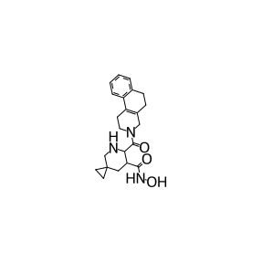 O=C(NO)C1CC2(CC2)CNC1C(=O)N1CCC2=C(CCc3ccccc32)C1